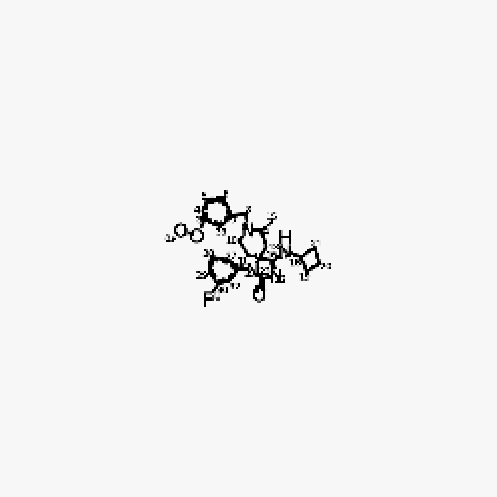 COOc1cccc(CN2CC[C@@]3(C[C@@H]2C)C(NC2CCC2)=NC(=O)N3c2cccc(F)c2)c1